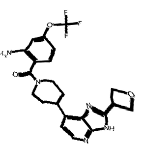 Nc1cc(OC(F)(F)F)ccc1C(=O)N1CCC(c2ccnc3[nH]c(C4COC4)nc23)CC1